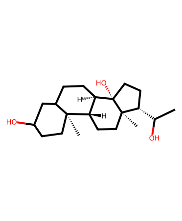 CC(O)[C@H]1CC[C@]2(O)[C@@H]3CCC4CC(O)CC[C@]4(C)[C@H]3CC[C@]12C